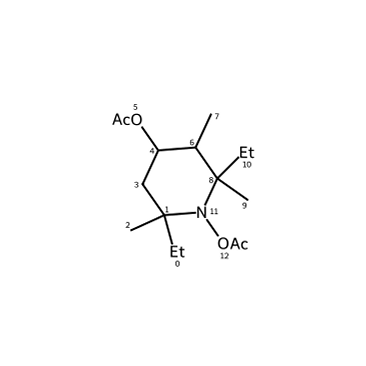 CCC1(C)CC(OC(C)=O)C(C)C(C)(CC)N1OC(C)=O